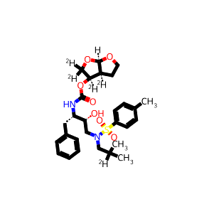 [2H]C(C)(C)CN(C[C@@H](O)[C@H](Cc1ccccc1)NC(=O)O[C@@]1([2H])C([2H])([2H])O[C@H]2OCC[C@]21[2H])S(=O)(=O)c1ccc(C)cc1